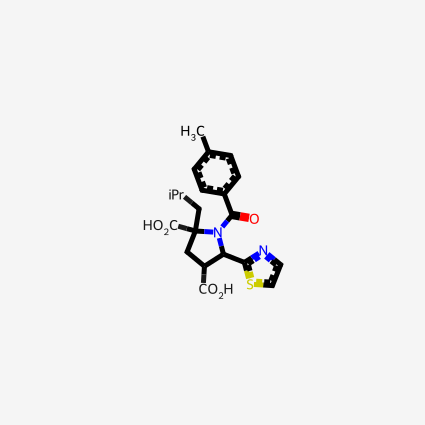 Cc1ccc(C(=O)N2C(c3nccs3)C(C(=O)O)CC2(CC(C)C)C(=O)O)cc1